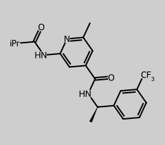 Cc1cc(C(=O)N[C@H](C)c2cccc(C(F)(F)F)c2)cc(NC(=O)C(C)C)n1